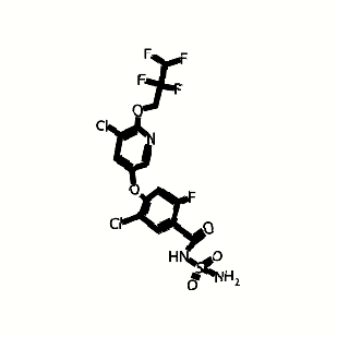 NS(=O)(=O)NC(=O)c1cc(Cl)c(Oc2cnc(OCC(F)(F)C(F)F)c(Cl)c2)cc1F